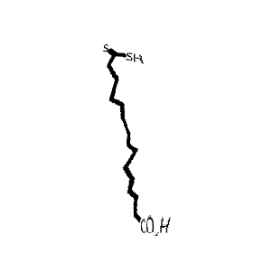 O=C(O)CCCCCCCCCCCCCC(=S)S